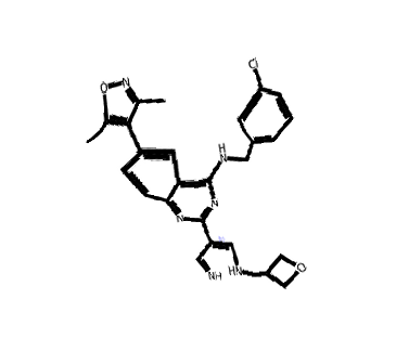 Cc1noc(C)c1-c1ccc2nc(/C(C=N)=C/NC3COC3)nc(NCc3cccc(Cl)c3)c2c1